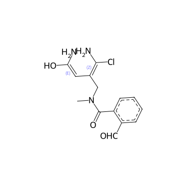 CN(CC(/C=C(\N)O)=C(/N)Cl)C(=O)c1ccccc1C=O